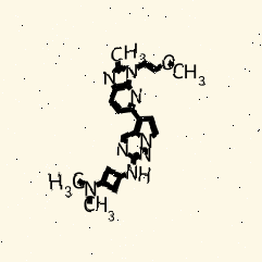 COCCn1c(C)nc2ccc(-c3ccn4nc(NC5CC(N(C)C)C5)ncc34)nc21